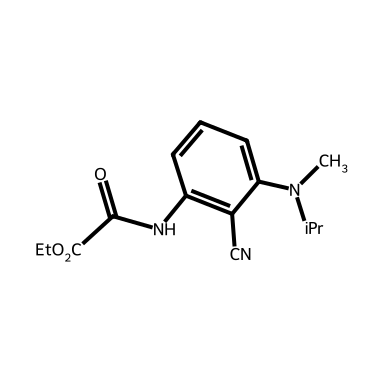 CCOC(=O)C(=O)Nc1cccc(N(C)C(C)C)c1C#N